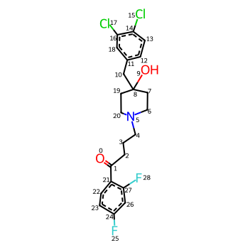 O=C(CCCN1CCC(O)(Cc2ccc(Cl)c(Cl)c2)CC1)c1ccc(F)cc1F